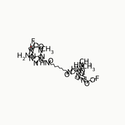 CN[C@H](C)C(=O)N[C@@H](C(=O)N1CCC[C@@H]1C1=NC(C(=O)c2ccc(F)cc2)CS1)C1CCN(C(=O)CCCCCCCCC(=O)NCCn2nc3c(c2C#N)-c2cnc(N)c(n2)N2CCC[C@@H]2c2cc(F)ccc2C(=O)N(C)C3)CC1